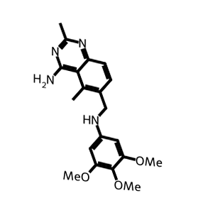 COc1cc(NCc2ccc3nc(C)nc(N)c3c2C)cc(OC)c1OC